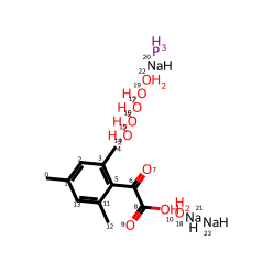 Cc1cc(C)c(C(=O)C(=O)O)c(C)c1.O.O.O.O.O.O.P.[NaH].[NaH].[NaH]